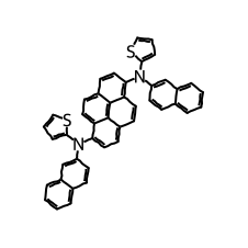 c1csc(N(c2ccc3ccccc3c2)c2ccc3ccc4c(N(c5ccc6ccccc6c5)c5cccs5)ccc5ccc2c3c54)c1